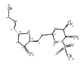 C=C(OS(=O)(=O)C(F)(F)F)[C@H](C)CC(O)CC[C@@H]1O[C@@H](CCCO)CC1=C